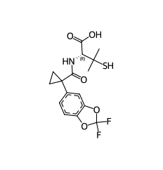 CC(C)(S)[C@H](NC(=O)C1(c2ccc3c(c2)OC(F)(F)O3)CC1)C(=O)O